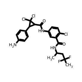 CC(CC(C)(F)F)NC(=O)c1cc(NC(=O)C2C(c3ccc(N)cc3)C2(Cl)Cl)ccc1Cl